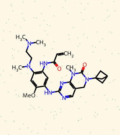 C=CC(=O)Nc1cc(Nc2ncc3c(n2)N(C)C(=O)N(C24CC(C2)C4)C3)c(OC)cc1N(C)CCN(C)C